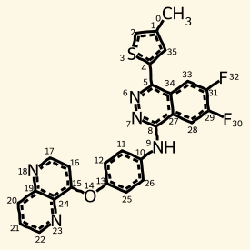 Cc1csc(-c2nnc(Nc3ccc(Oc4ccnc5cccnc45)cc3)c3cc(F)c(F)cc23)c1